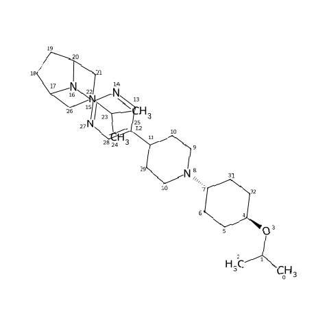 CC(C)O[C@H]1CC[C@H](N2CCC(c3cnc(N4C5CCC4CN(C(C)C)C5)nc3)CC2)CC1